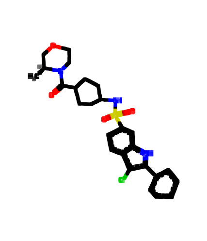 C[C@H]1COCCN1C(=O)C1CCC(NS(=O)(=O)c2ccc3c(Cl)c(-c4ccccc4)[nH]c3c2)CC1